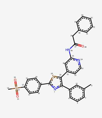 Cc1cccc(-c2nc(-c3ccc(S(C)(=O)=O)cc3)sc2-c2ccnc(NC(=O)Cc3ccccc3)c2)c1